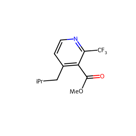 COC(=O)c1c(CC(C)C)ccnc1C(F)(F)F